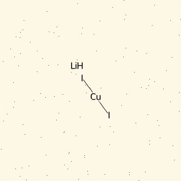 [I][Cu][I].[LiH]